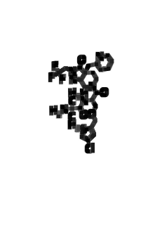 CC(C)(N)C(=O)N[C@H](COCc1cc(Cl)cs1)C(=O)N1CC[C@@]2(Cc3ccccn3)C(=O)N(CC(F)(F)F)N=C2C1